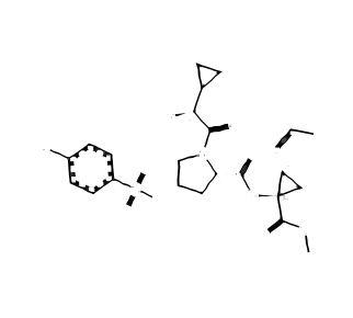 C/C=C\[C@@H]1C[C@]1(NC(=O)[C@@H]1C[C@H](OS(=O)(=O)c2ccc(Br)cc2)CN1C(=O)[C@@H](N)C1CC1)C(=O)OC